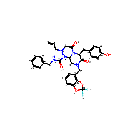 C=CCN1CC(=O)N2C(Cc3ccc(O)cc3)C(=O)N(Cc3cccc4c3OC(F)(F)O4)CC2N1C(=O)NCc1ccccc1